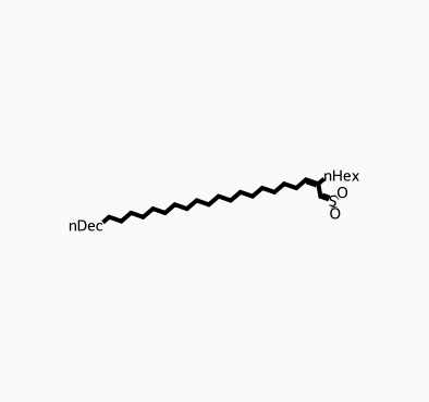 CCCCCCCCCCCCCCCCCCCCCCCCCCCCC=C(C=S(=O)=O)CCCCCC